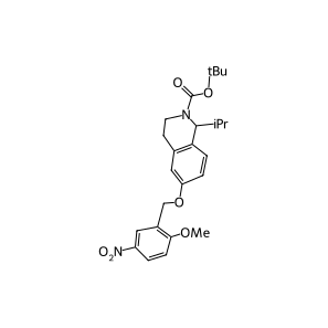 COc1ccc([N+](=O)[O-])cc1COc1ccc2c(c1)CCN(C(=O)OC(C)(C)C)C2C(C)C